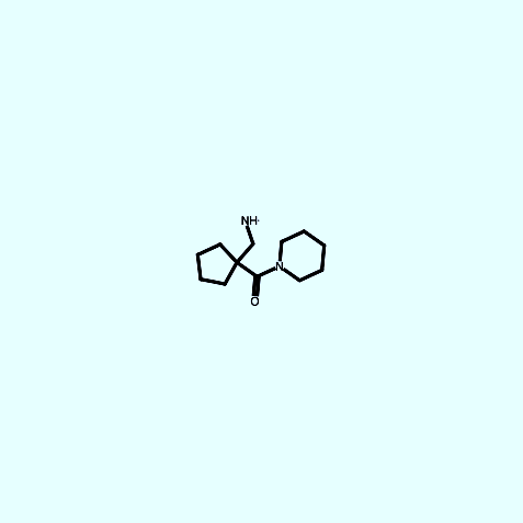 [NH]CC1(C(=O)N2CCCCC2)CCCC1